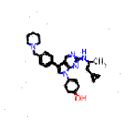 CC(CC1CC1)Nc1ncc2c(-c3ccc(CN4CCCCC4)cc3)cn(C3CCC(O)CC3)c2n1